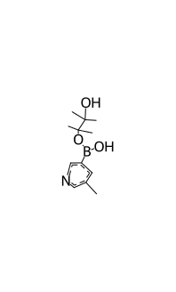 Cc1cncc(B(O)OC(C)(C)C(C)(C)O)c1